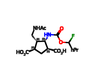 CCCC(F)OC(=O)N[C@H]1[C@@H](CNC(C)=O)[C@H](C(=O)O)C[C@@H]1C(=O)O